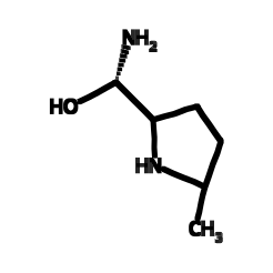 CC1CCC([C@@H](N)O)N1